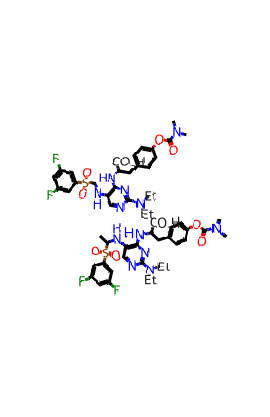 CCN(CC)c1ncc(NC(C)S(=O)(=O)c2cc(F)cc(F)c2)c(NC(Cc2ccc(OC(=O)N(C)C)cc2)C(=O)O)n1.CCN(CC)c1ncc(NCS(=O)(=O)c2cc(F)cc(F)c2)c(NC(Cc2ccc(OC(=O)N(C)C)cc2)C(=O)O)n1